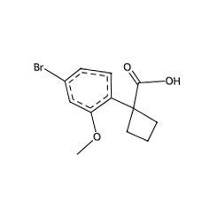 COc1cc(Br)ccc1C1(C(=O)O)CCC1